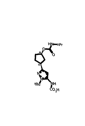 CCCNC(=O)O[C@@H]1CC[C@H](c2cc(NC(=O)O)n(C(C)(C)C)n2)C1